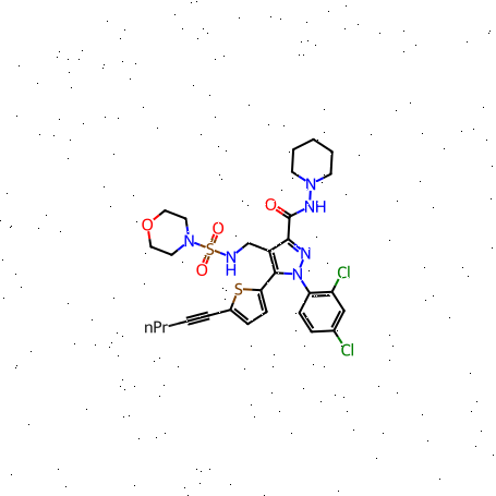 CCCC#Cc1ccc(-c2c(CNS(=O)(=O)N3CCOCC3)c(C(=O)NN3CCCCC3)nn2-c2ccc(Cl)cc2Cl)s1